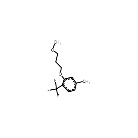 COCCCOc1cc(C)ccc1C(F)(F)F